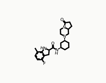 Cc1ccc(F)c2c1NC(C(=O)N[C@@H]1CCC[C@H](N3CCN4C(=O)CCC4C3)C1)C2